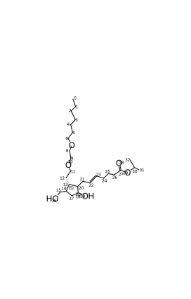 CCCCCCCOCCOCC[C@H]1C(CO)C[C@H](O)C1CC=CCCCC(=O)OC(C)C